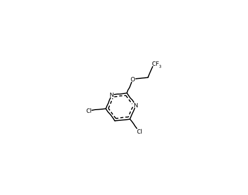 FC(F)(F)COc1nc(Cl)cc(Cl)n1